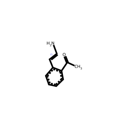 CC(=O)c1ccccc1/C=C/N